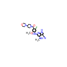 CNc1cc(Nc2cc(F)c(C(=O)N3CCC(N4CCOCC4)CC3)cc2OC)nc2[nH]cc(C#N)c12